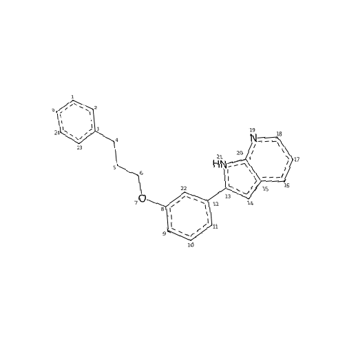 c1ccc(CCCOc2cccc(-c3cc4cccnc4[nH]3)c2)cc1